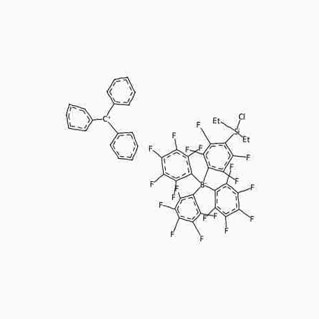 CC[Si](Cl)(CC)c1c(F)c(F)c([B-](c2c(F)c(F)c(F)c(F)c2F)(c2c(F)c(F)c(F)c(F)c2F)c2c(F)c(F)c(F)c(F)c2F)c(F)c1F.c1ccc([C+](c2ccccc2)c2ccccc2)cc1